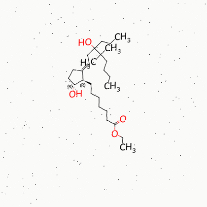 CCCCC(C)(C)C(O)(CC=C1CC[C@@H](O)[C@@H]1CCCCCCC(=O)OCC)CCC